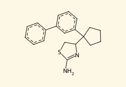 NC1=NC(C2(c3cccc(-c4ccccc4)c3)CCCC2)CS1